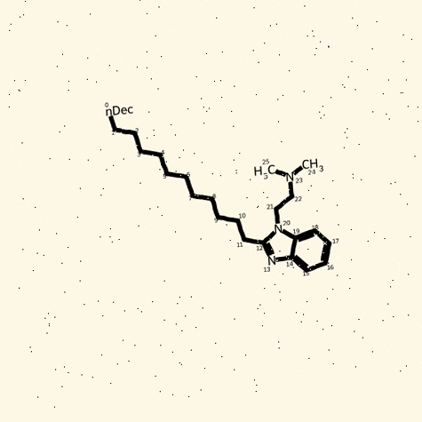 CCCCCCCCCCCCCCCCCCCCCc1nc2ccccc2n1CCN(C)C